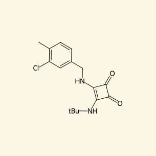 Cc1ccc(CNc2c(NC(C)(C)C)c(=O)c2=O)cc1Cl